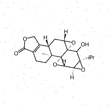 CC(C)[C@]12O[C@H]1[C@@H]1O[C@@]13[C@@]1(C)CCC4=C(COC4=O)[C@@H]1C[C@@H]1O[C@@]13C2O